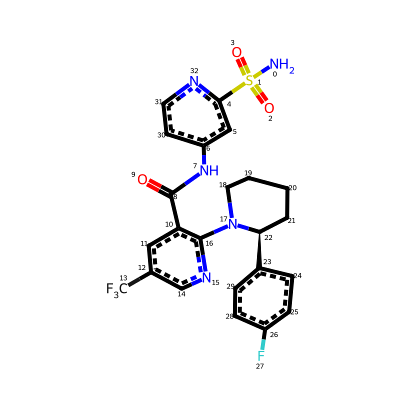 NS(=O)(=O)c1cc(NC(=O)c2cc(C(F)(F)F)cnc2N2CCCC[C@H]2c2ccc(F)cc2)ccn1